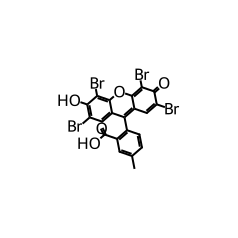 Cc1ccc(-c2c3cc(Br)c(=O)c(Br)c-3oc3c(Br)c(O)c(Br)cc23)c(C(=O)O)c1